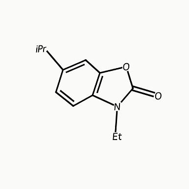 CCn1c(=O)oc2cc(C(C)C)ccc21